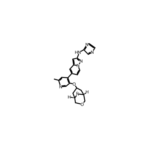 Cc1cc(-c2ccn3nc(Nc4cnccn4)cc3c2)c(OC2C[C@H]3COC[C@@H](C2)N3C)cn1